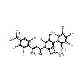 C/C(=C\C(=N)c1c(F)c(F)c(-c2c(C)c(F)c(F)c(F)c2F)c2c1CC2C)c1c(F)cc(C(C)F)c(F)c1F